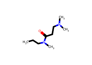 CCCN(C)C(=O)CCN(C)C